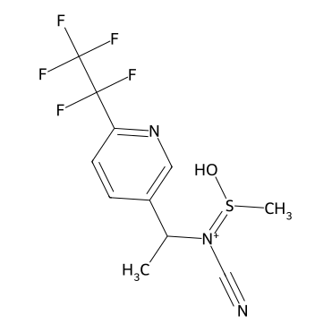 CC(c1ccc(C(F)(F)C(F)(F)F)nc1)[N+](C#N)=S(C)O